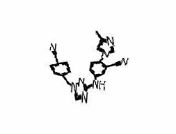 Cc1cn(-c2ccc(Nc3ncn(Cc4ccc(C#N)cc4)n3)cc2C#N)cn1